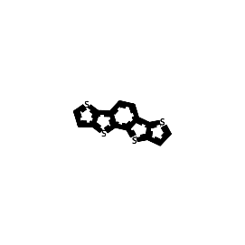 c1cc2sc3c(ccc4c5sccc5sc43)c2s1